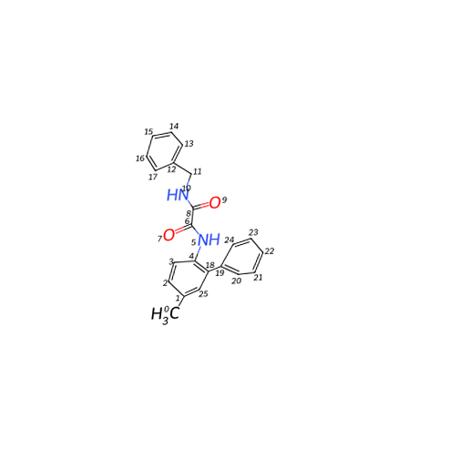 Cc1ccc(NC(=O)C(=O)NCc2ccccc2)c(-c2ccccc2)c1